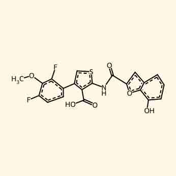 COc1c(F)ccc(-c2csc(NC(=O)c3cc4cccc(O)c4o3)c2C(=O)O)c1F